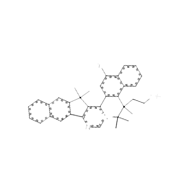 CC(C)c1cc2c(c3ccccc13)C(C)(CCO)C(C)(C)[n+]1cnc3c(c1-2)C(C)(C)c1cc2ccccc2cc1-3